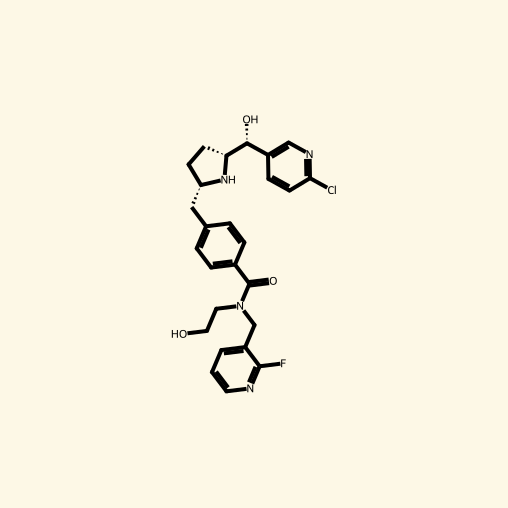 O=C(c1ccc(C[C@@H]2CC[C@H]([C@H](O)c3ccc(Cl)nc3)N2)cc1)N(CCO)Cc1cccnc1F